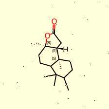 CC1CC[C@@]2(C)C(CC[C@@]3(C)OC(=O)C[C@@H]32)C1(C)C